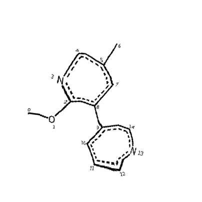 COc1ncc(C)cc1-c1cccnc1